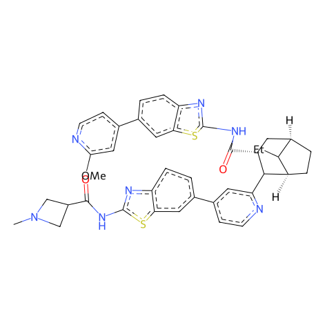 CCC1[C@@H]2CC[C@H]1C(c1cc(-c3ccc4nc(NC(=O)C5CN(C)C5)sc4c3)ccn1)[C@H](C(=O)Nc1nc3ccc(-c4ccnc(OC)c4)cc3s1)C2